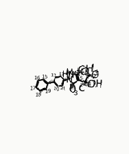 COC(=O)C(O)(c1c(C)[nH]n(-c2ccc(-c3ccccc3)cc2)c1=O)C(F)(F)F